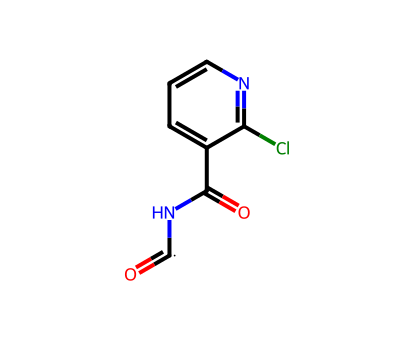 O=[C]NC(=O)c1cccnc1Cl